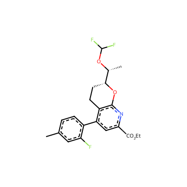 CCOC(=O)c1cc(-c2ccc(C)cc2F)c2c(n1)O[C@@H]([C@@H](C)OC(F)F)CC2